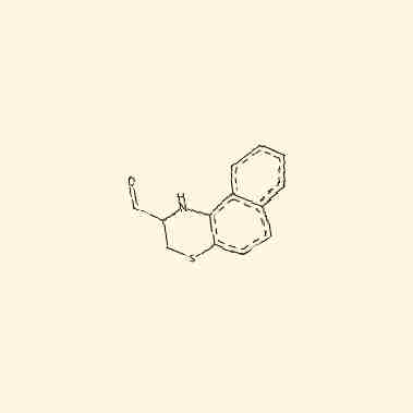 O=CC1CSc2ccc3ccccc3c2N1